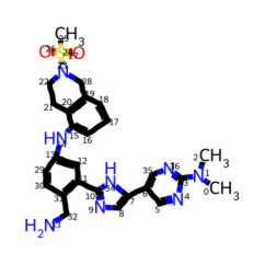 CN(C)c1ncc(-c2cnc(-c3cc(Nc4cccc5c4CCN(S(C)(=O)=O)C5)ccc3CN)[nH]2)cn1